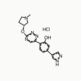 CN1CC[C@H](Oc2ncc(-c3ccc(-c4cn[nH]c4)cc3O)nn2)C1.Cl